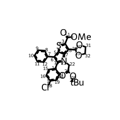 COC(=O)c1sc2c(-c3ccccc3)c(-c3ccc(Cl)cc3)n(CC(=O)OC(C)(C)C)c2c1C1OCCO1